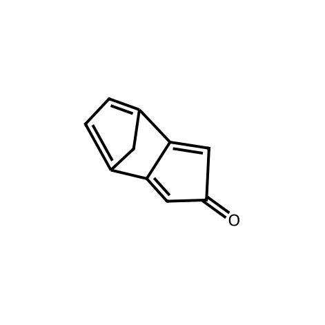 O=C1C=C2C3=CC=C(C3)C2=C1